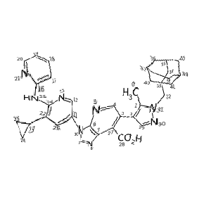 Cc1c(-c2cnc3c(ncn3-c3cnc(Nc4ccccn4)c(C4CC4)c3)c2C(=O)O)cnn1CC12CC3CC(CC(C3)C1)C2